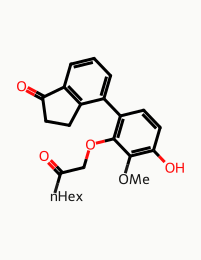 CCCCCCC(=O)COc1c(-c2cccc3c2CCC3=O)ccc(O)c1OC